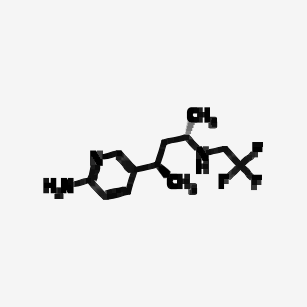 C[C@H](C[C@H](C)NCC(F)(F)F)c1ccc(N)nc1